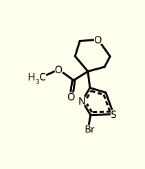 COC(=O)C1(c2csc(Br)n2)CCOCC1